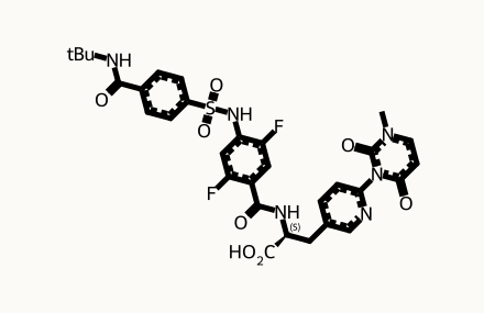 Cn1ccc(=O)n(-c2ccc(C[C@H](NC(=O)c3cc(F)c(NS(=O)(=O)c4ccc(C(=O)NC(C)(C)C)cc4)cc3F)C(=O)O)cn2)c1=O